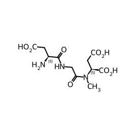 CN(C(=O)CNC(=O)[C@@H](N)CC(=O)O)[C@@H](CC(=O)O)C(=O)O